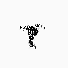 C=CC(=O)Nc1cccc(-c2c(COC(C)=O)ccc3c2=NC(Nc2ccc(N4CCN(C)CC4)cc2)CC=3)c1